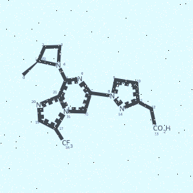 C[C@H]1CCN1c1nc(-n2ccc(CC(=O)O)n2)cn2c(C(F)(F)F)cnc12